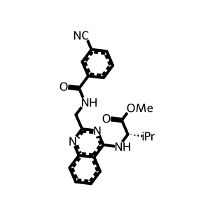 COC(=O)[C@@H](Nc1nc(CNC(=O)c2cccc(C#N)c2)nc2ccccc12)C(C)C